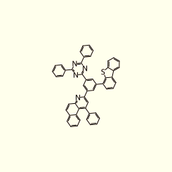 c1ccc(-c2nc(-c3ccccc3)nc(-c3cc(-c4cc(-c5ccccc5)c5c(ccc6ccccc65)n4)cc(-c4cccc5c4sc4ccccc45)c3)n2)cc1